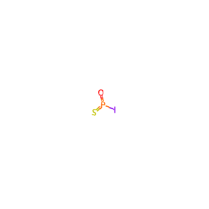 O=P(=S)I